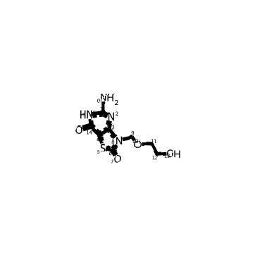 Nc1nc2c(sc(=O)n2COCCO)c(=O)[nH]1